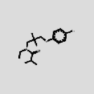 CCN(CC(C)(C)CSc1ccc(Br)cc1)C(=O)C(C)C